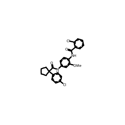 COc1cc(NC(=O)C2(c3ccc(Cl)cc3)CCCC2)ccc1NC(=O)c1ccccc1Cl